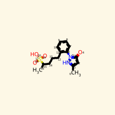 Cc1cc(=O)n(-c2ccccc2CCCC(C)S(=O)(=O)O)[nH]1